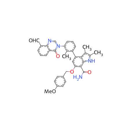 COc1ccc(COc2cc(-c3cccc(-n4cnc5c(C=O)cccc5c4=O)c3C)c3c(C)c(C)[nH]c3c2C(N)=O)cc1